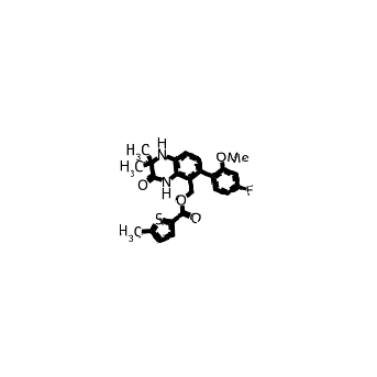 COc1cc(F)ccc1-c1ccc2c(c1COC(=O)c1ccc(C)s1)NC(=O)C(C)(C)N2